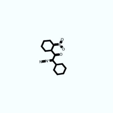 [N-]=[N+]=C(C(=O)C1CCCCC1=S(=O)=O)C1CCCCC1